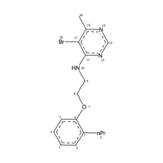 CCCc1ccccc1OCCNc1ncnc(C)c1Br